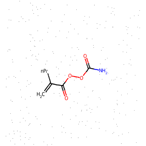 C=C(CCC)C(=O)OOC(N)=O